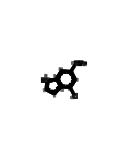 COc1cc(Cl)c2[c]c[nH]c2c1